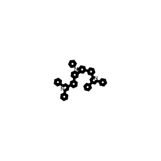 c1ccc(-c2cc(-c3ccccc3)nc(-c3cccc(-c4ccc5c(c4)c4cc(-c6cccc(-c7cc(-c8ccccc8)nc(-c8ccccc8)c7)c6)ccc4n5-c4ccccc4)c3)c2)cc1